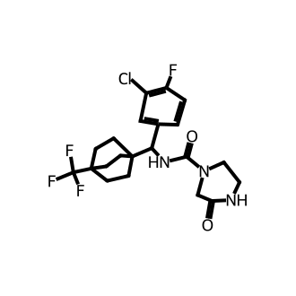 O=C1CN(C(=O)NC(c2ccc(F)c(Cl)c2)C23CCC(C(F)(F)F)(CC2)CC3)CCN1